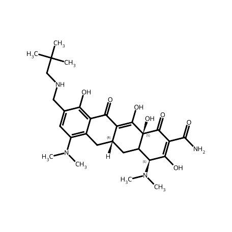 CN(C)c1cc(CNCC(C)(C)C)c(O)c2c1C[C@H]1CC3[C@H](N(C)C)C(O)=C(C(N)=O)C(=O)[C@@]3(O)C(O)=C1C2=O